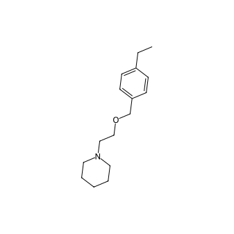 CCc1ccc(COCCN2CCCCC2)cc1